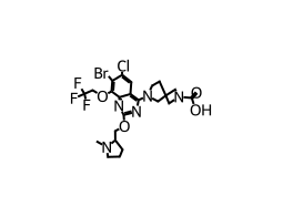 CN1CCCC1COc1nc(N2CCC3(CN(C(=O)O)C3)C2)c2cc(Cl)c(Br)c(OCC(F)(F)F)c2n1